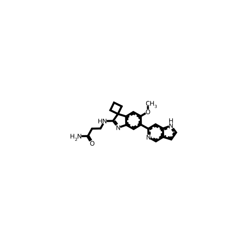 COc1cc2c(cc1-c1cc3[nH]ccc3cn1)N=C(NCCC(N)=O)C21CCC1